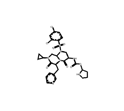 O=C(NC1CN(S(=O)(=O)c2ccc(Cl)cc2Cl)C2CN(C3CC3)C(=O)C(Cc3cccnc3)N2C1=O)OC1CCCN1